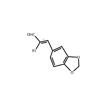 CC/C(C=O)=C\c1ccc2c(c1)OCO2